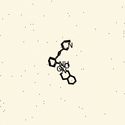 O=S(=O)(Nc1ccccc1C#Cc1cccnc1)N1CCC2CCCCC2C1